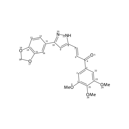 COc1cc(C(=O)C=Cc2cc(-c3ccc4c(c3)OCO4)n[nH]2)cc(OC)c1OC